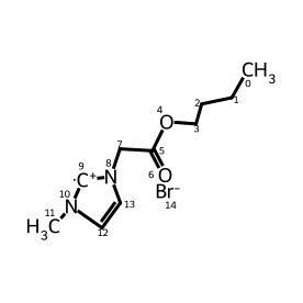 CCCCOC(=O)CN1[C+]N(C)C=C1.[Br-]